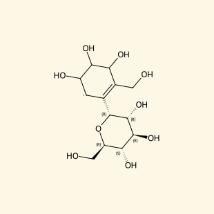 OCC1=C([C@H]2O[C@H](CO)[C@@H](O)[C@H](O)[C@H]2O)[CH]C(O)C(O)C1O